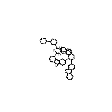 c1ccc(-c2cccc(-c3nc(-c4ccccc4)nc(-c4cccc5oc6ccc(-c7c(-c8ccc9c(c8)sc8ccccc89)ccc8sc9ccccc9c78)cc6c45)n3)c2)cc1